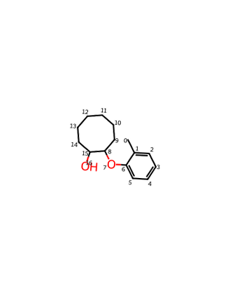 Cc1ccccc1OC1CCCCCCC1O